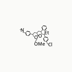 CCC(CC(CC(CC(C)c1ccc(CN(C)C)cc1)C(=O)OCCOC)c1ccccc1)c1ccc(CCl)cc1